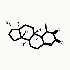 CC[C@H]1CC[C@H]2[C@@H]3CCC4=CC(=O)C(=O)C(C)[C@]4(C)[C@H]3CC[C@]12C